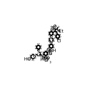 CCn1c(C)c(S(C)(=O)=O)c(-c2cccc(N3CCN(c4ccc(NS(=O)(=O)c5ccc(N[C@H](CCN6CCC(O)CC6)CSc6ccccc6)c(S(=O)(=O)C(F)(F)F)c5)cc4)CC3)c2)c1-c1ccc(Cl)cc1